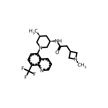 C[C@H]1C[C@@H](NC(=O)CC2CN(C)C2)CN(c2ccc(C(F)(F)F)c3ncccc23)C1